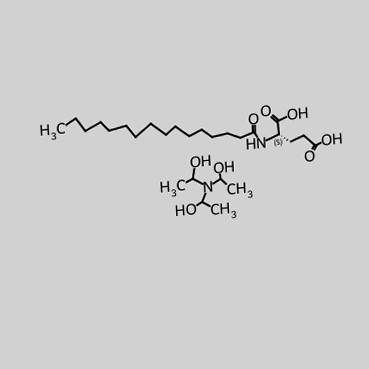 CC(O)N(C(C)O)C(C)O.CCCCCCCCCCCCCCCC(=O)N[C@@H](CCC(=O)O)C(=O)O